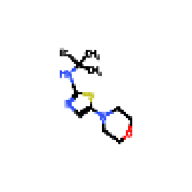 CCC(C)(C)Nc1ncc(N2CCOCC2)s1